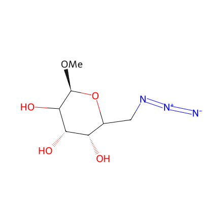 CO[C@H]1OC(CN=[N+]=[N-])[C@H](O)[C@H](O)C1O